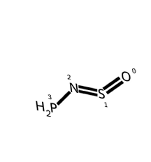 O=S=NP